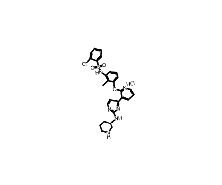 Cc1c(NS(=O)(=O)c2ccccc2Cl)cccc1Oc1ncccc1-c1ccnc(NC2CCCNC2)n1.Cl